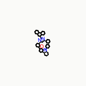 C1=CC2c3ccc4c(oc5c(-c6cc(-c7ccccc7)nc(-c7cc8ccccc8c8ccccc78)n6)cccc54)c3N(c3ccccc3)C2C=C1